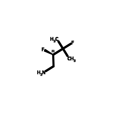 CC(C)(F)[C@H](F)CN